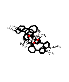 COc1ccc(C2CCCCC3=C2C=C(C)[C]32[SiH](C)[C]3(C(C)=CC4=C3CCCCC4c3ccc(OC)cc3)[Zr]23([Cl])([Cl])[C]2(C(C)=CC4=C2CCCCC4c2ccc(OC)cc2)[SiH](C)[C]32C(C)=CC3=C2CCCCC3c2ccc(OC)cc2)cc1